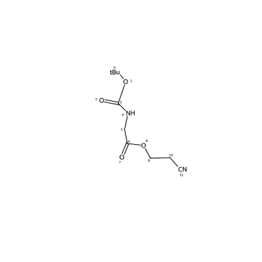 CC(C)(C)OC(=O)NCC(=O)OCCC#N